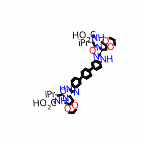 CC(C)[C@H](NC(=O)O)C(=O)N1CC2(C[C@H]1c1nc3cc(-c4ccc(-c5ccc6[nH]c([C@@H]7CC8(CN7C(=O)[C@@H](NC(=O)O)C(C)C)OCCCO8)nc6c5)cc4)ccc3[nH]1)OCCCO2